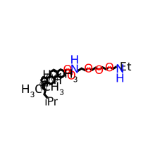 CCNCCOCCOCCOCCCNC(=O)OC1CC[C@@]2(C)C(=CC[C@H]3[C@@H]4CC[C@H]([C@H](C)CCCC(C)C)[C@@]4(C)CC[C@@H]32)C1